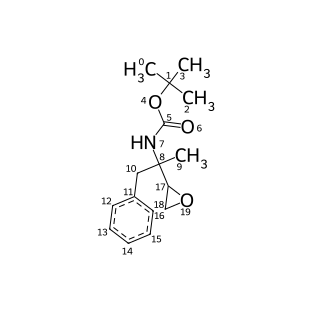 CC(C)(C)OC(=O)NC(C)(Cc1ccccc1)C1CO1